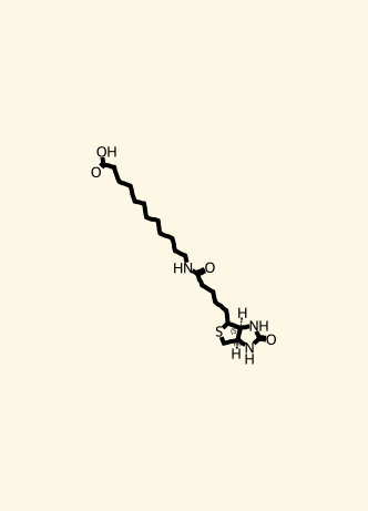 O=C(O)CCCCCCCCCCCNC(=O)CCCCC1SC[C@@H]2NC(=O)N[C@H]12